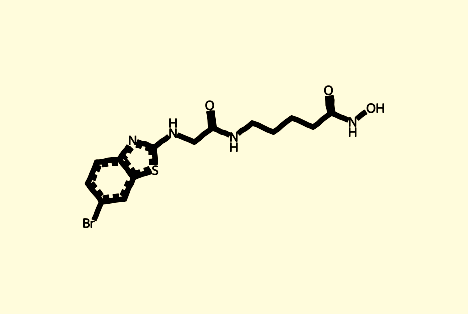 O=C(CCCCNC(=O)CNc1nc2ccc(Br)cc2s1)NO